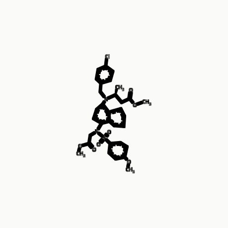 COC(=O)C[C@H](C)N(Cc1ccc(Cl)cc1)c1ccc(N(CC(=O)OC)S(=O)(=O)c2ccc(OC)cc2)c2ccccc12